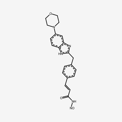 O=NNC(=O)/C=C/c1ccc(Cc2nc3cc(N4CCOCC4)ccc3[nH]2)cc1